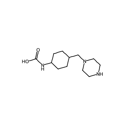 O=C(O)NC1CCC(CN2CCNCC2)CC1